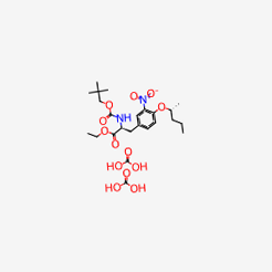 CCC[C@@H](C)Oc1ccc(C[C@H](NC(=O)OCC(C)(C)C)C(=O)OCC)cc1[N+](=O)[O-].O=C(O)O.O=C(O)O